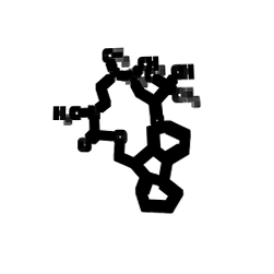 CN(CCP(C)N(C)CC(=O)C(C)(C)O)C(=O)OCC1c2ccccc2-c2ccccc21